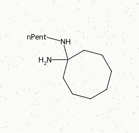 CCCCCNC1(N)CCCCCCC1